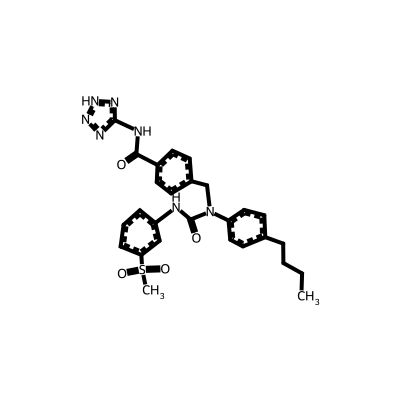 CCCCc1ccc(N(Cc2ccc(C(=O)Nc3nn[nH]n3)cc2)C(=O)Nc2cccc(S(C)(=O)=O)c2)cc1